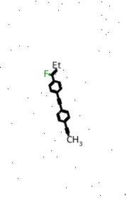 CC#Cc1ccc(C#Cc2ccc(C(F)=CCC)cc2)cc1